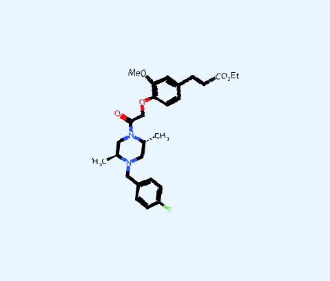 CCOC(=O)CCc1ccc(OCC(=O)N2C[C@H](C)N(Cc3ccc(F)cc3)C[C@H]2C)c(OC)c1